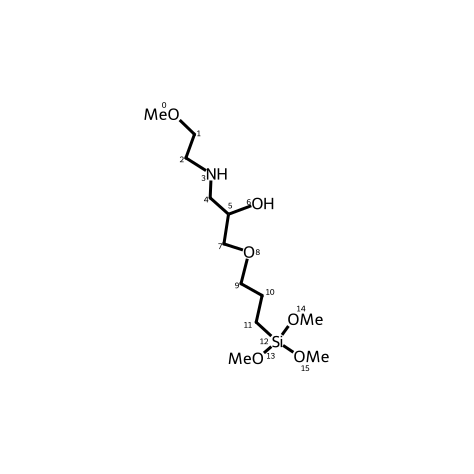 COCCNCC(O)COCCC[Si](OC)(OC)OC